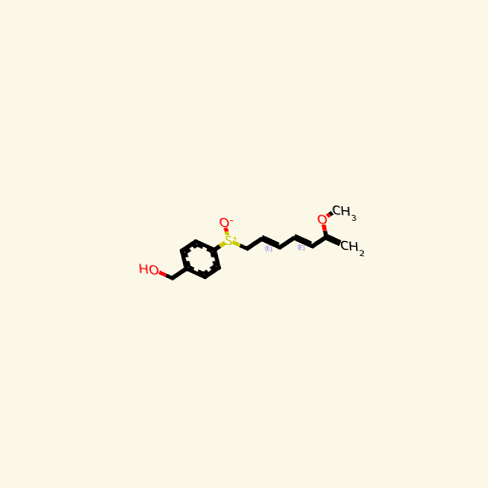 C=C(/C=C/C=C/C[S+]([O-])c1ccc(CO)cc1)OC